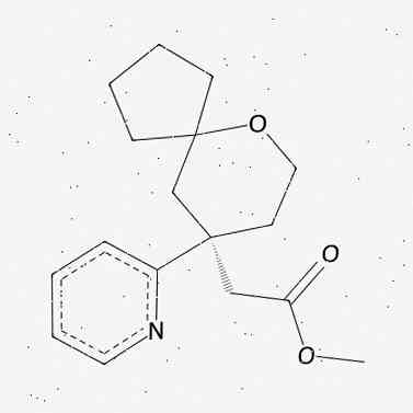 COC(=O)C[C@@]1(c2ccccn2)CCOC2(CCCC2)C1